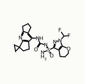 NS(=O)(=NC(=O)Nc1c2c(nc3c1CCC31CC1)CCC2)c1nn(C(F)F)c2c1CCCO2